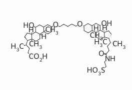 C[C@H](CCC(=O)O)[C@H]1CC[C@@H]2C3[C@@H](CC[C@@]21C)[C@@]1(C)CC[C@H](OCCCCCO[C@H]2CC[C@@]4(C)C(C2)C[C@H](O)C2[C@H]5CC[C@H]([C@H](C)CCC(=O)NCCS(=O)(=O)O)[C@@]5(C)CC[C@H]24)CC1C[C@@H]3O